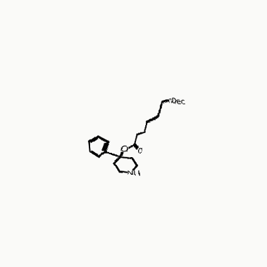 CCCCCCCCCCCCCCCC(=O)OC1(c2ccccc2)CCNCC1